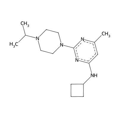 Cc1cc(NC2CCC2)nc(N2CCN(C(C)C)CC2)n1